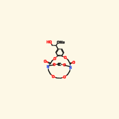 COC(CO)c1ccc2c(c1)OCC(=O)N1CCOCCOCCN(CCOCCOCC1)C(=O)CO2